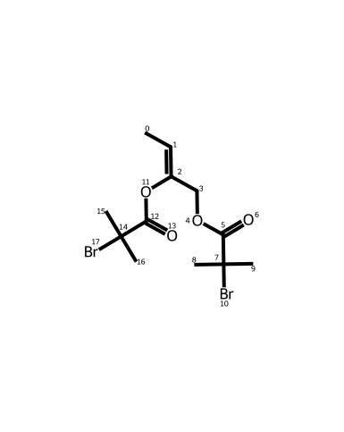 C/C=C(/COC(=O)C(C)(C)Br)OC(=O)C(C)(C)Br